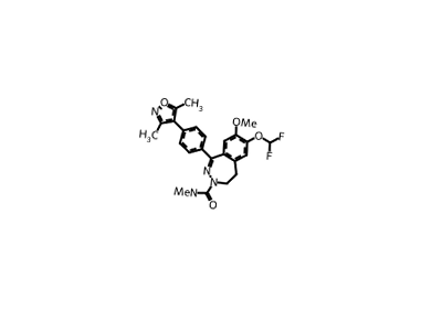 CNC(=O)N1CCc2cc(OC(F)F)c(OC)cc2C(c2ccc(-c3c(C)noc3C)cc2)=N1